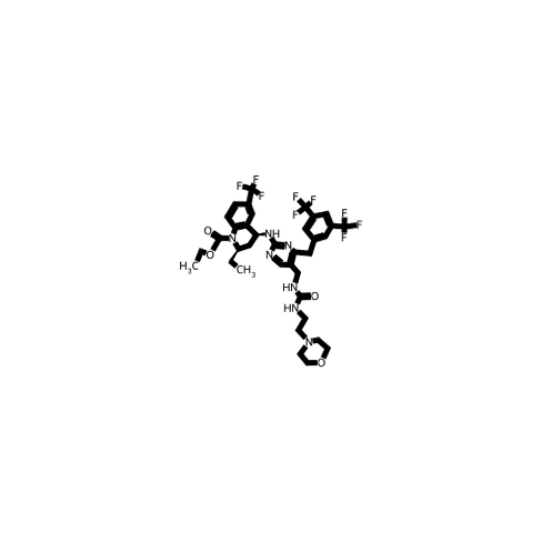 CCOC(=O)N1c2ccc(C(F)(F)F)cc2[C@@H](Nc2ncc(CNC(=O)NCCN3CCOCC3)c(Cc3cc(C(F)(F)F)cc(C(F)(F)F)c3)n2)C[C@H]1CC